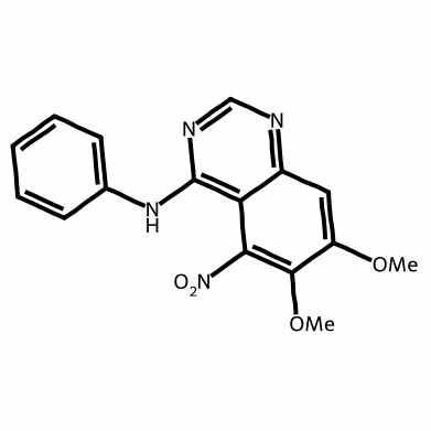 COc1cc2ncnc(Nc3ccccc3)c2c([N+](=O)[O-])c1OC